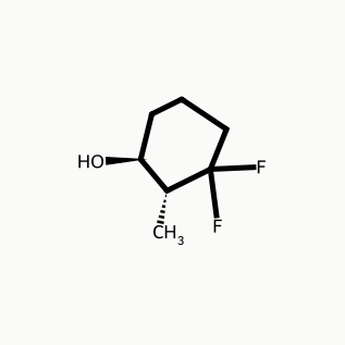 C[C@@H]1[C@@H](O)CCCC1(F)F